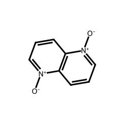 [O-][n+]1cccc2c1ccc[n+]2[O-]